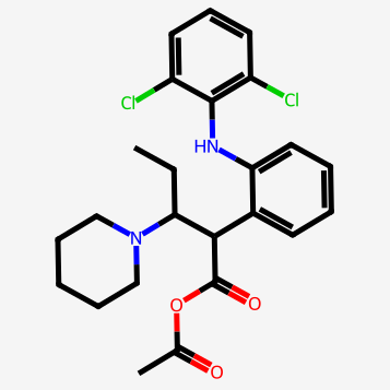 CCC(C(C(=O)OC(C)=O)c1ccccc1Nc1c(Cl)cccc1Cl)N1CCCCC1